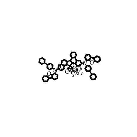 CC(C)(C)C1(C(C)(C)C)c2c(ccc3cc(N(c4ccc(-c5ccccc5)cc4)c4cccc5c4oc4ccccc45)ccc23)-c2c1c1ccc(N(c3ccc(-c4ccccc4)cc3)c3cccc4c3oc3ccccc34)cc1c1ccccc21